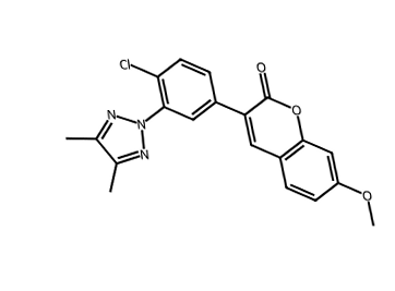 COc1ccc2cc(-c3ccc(Cl)c(-n4nc(C)c(C)n4)c3)c(=O)oc2c1